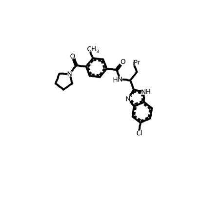 Cc1cc(C(=O)NC(CC(C)C)c2nc3cc(Cl)ccc3[nH]2)ccc1C(=O)N1CCCC1